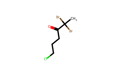 CC(Br)(Br)C(=O)CCCCl